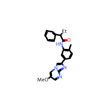 CCC(C(=O)Nc1cc(-c2cn3cc(OC)cnc3n2)ccc1C)c1ccccc1